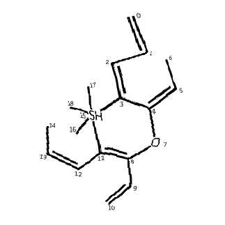 C=C/C=C1\C(=C/C)OC(C=C)=C(/C=C\C)[SH]1(C)(C)C